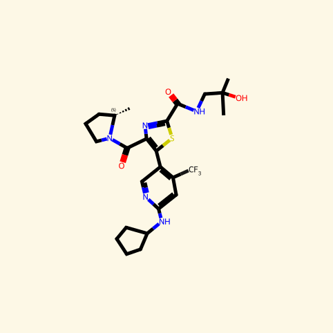 C[C@H]1CCCN1C(=O)c1nc(C(=O)NCC(C)(C)O)sc1-c1cnc(NC2CCCC2)cc1C(F)(F)F